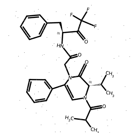 CC(C)C(=O)N1C=C(c2ccccc2)N(CC(=O)N[C@@H](Cc2ccccc2)C(=O)C(F)(F)F)C(=O)[C@@H]1C(C)C